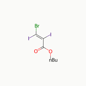 CCCCOC(=O)/C(I)=C(/Br)I